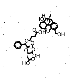 CN1CC[C@]23c4c5ccc(CO)c4O[C@H]2C(OC(=O)CCC(=O)O[C@H](C(=O)O[C@@H](CC(=O)O)C(=O)O)c2ccccc2)=CC[C@@]3(O)[C@H]1C5